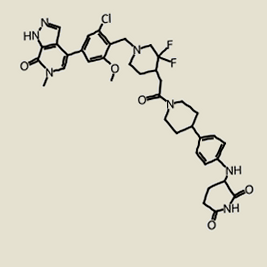 COc1cc(-c2cn(C)c(=O)c3[nH]ncc23)cc(Cl)c1CN1CCC(CC(=O)N2CCC(c3ccc(NC4CCC(=O)NC4=O)cc3)CC2)C(F)(F)C1